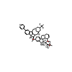 CC[C@]12C=CCN3CC[C@@]4(C5=CC([C@@]6(C(=O)OC)C[C@H]7CC(C(C)(F)F)CN(Cc8c6[nH]c6ccc(-c9ccncc9)cc86)C7)C(OC)C=C5N(C)[C@H]4[C@@](O)(C(=O)OC)[C@@H]1OC(C)=O)[C@@H]32